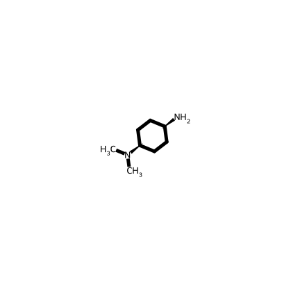 CN(C)[C@H]1CC[C@@H](N)CC1